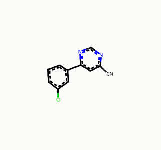 N#Cc1cc(-c2cccc(Cl)c2)ncn1